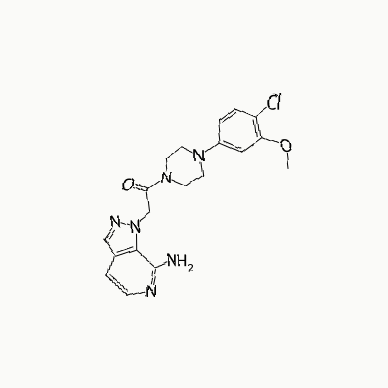 COc1cc(N2CCN(C(=O)Cn3ncc4ccnc(N)c43)CC2)ccc1Cl